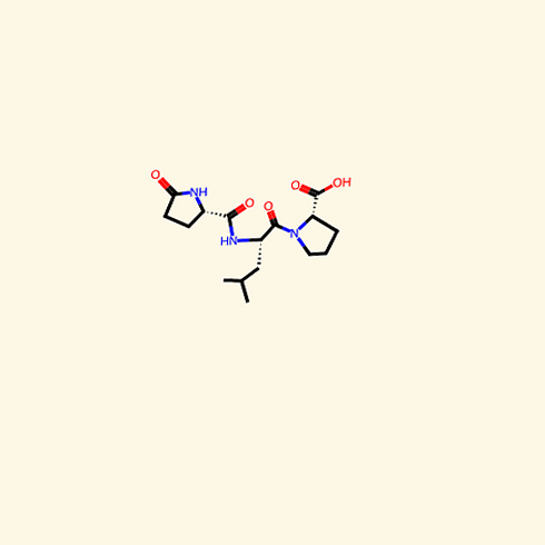 CC(C)C[C@H](NC(=O)[C@@H]1CCC(=O)N1)C(=O)N1CCC[C@H]1C(=O)O